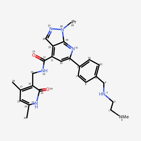 CNCCNCc1ccc(-c2cc(C(=O)NCc3c(C)cc(C)[nH]c3=O)c3cnn(C(C)C)c3n2)cc1